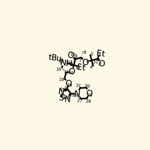 CCC(=O)C(C)(C)O[C@@H](C)C(=O)C(C)(CC)O[C@@H](CNC(C)(C)C)COc1nsnc1N1CCOCC1